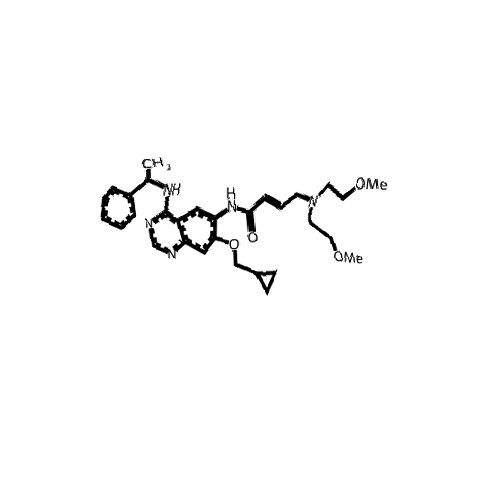 COCCN(CC=CC(=O)Nc1cc2c(NC(C)c3ccccc3)ncnc2cc1OCC1CC1)CCOC